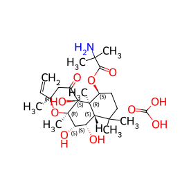 C=C[C@@]1(C)CC(=O)[C@]2(O)[C@@]3(C)[C@@H](OC(=O)C(C)(C)N)CCC(C)(C)[C@@H]3[C@H](O)[C@H](O)[C@@]2(C)O1.O=C(O)O